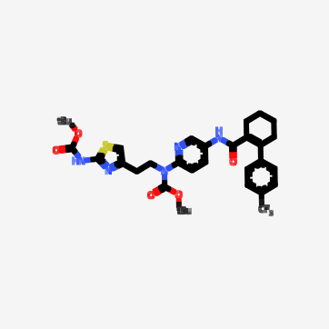 CC(C)(C)OC(=O)Nc1nc(CCN(C(=O)OC(C)(C)C)c2ccc(NC(=O)C3=C(c4ccc(C(F)(F)F)cc4)CCCC3)cn2)cs1